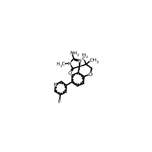 CN1C(=O)C2(N=C1N)c1cc(-c3cncc(F)c3)ccc1OCC2(C)C